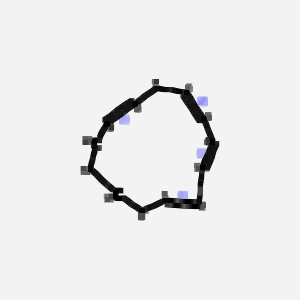 [CH]1/C=C/C=C/C=C\C/C=C/CCC1